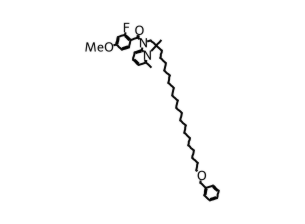 COc1ccc(C(=O)N(CC(C)(C)CCCCCCCCCCCCCCCCCCCCOCc2ccccc2)c2cccc(C)n2)c(F)c1